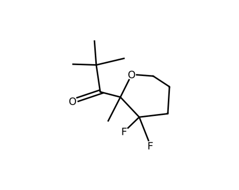 CC(C)(C)C(=O)C1(C)OCCCC1(F)F